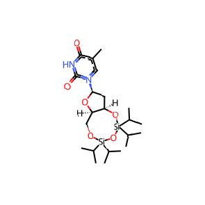 Cc1cn([C@H]2C[C@H]3O[Si](C(C)C)(C(C)C)O[Si](C(C)C)(C(C)C)OC[C@H]3O2)c(=O)[nH]c1=O